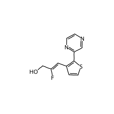 OCC(F)=Cc1ccsc1-c1cnccn1